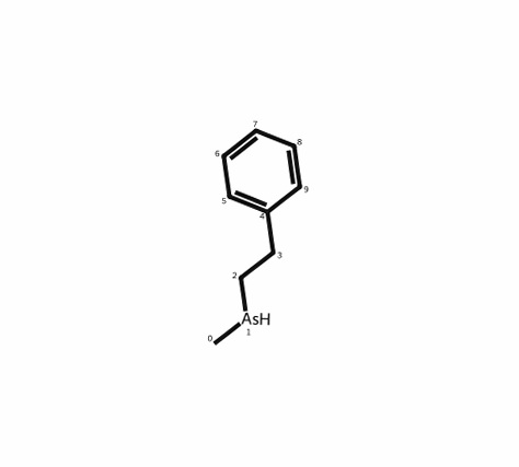 C[AsH]CCc1ccccc1